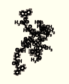 COc1ccc(C(OC[C@H]2O[C@@H](n3cnc4c(=O)[nH]c(NC(=O)CCNC(=O)c5ccc(CNC(=O)OCC6c7ccccc7-c7ccccc76)cc5)nc43)CC2OP(OCCC#N)OC[C@H]2O[C@@H](n3ccc(NC(=O)CCCN(C)C(=O)OCC4c5ccccc5-c5ccccc54)nc3=O)CC2OP(OCCC=N)N(C(C)C)C(C)C)(c2ccccc2)c2ccc(OC)cc2)cc1